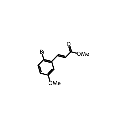 COC(=O)C=Cc1cc(OC)ccc1Br